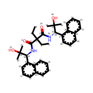 CCC(CC)(C(=O)N[C@@H](c1cccc2ccccc12)C(C)(C)O)C(=O)N[C@@H](c1cccc2ccccc12)C(C)(C)O